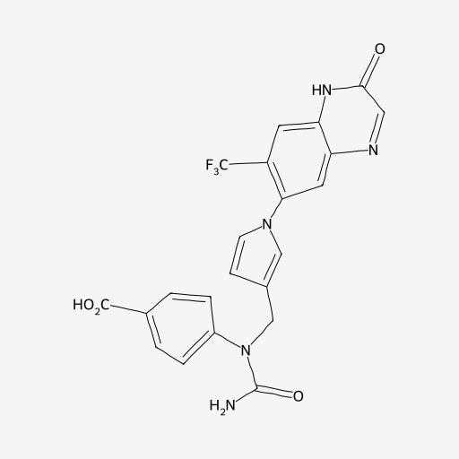 NC(=O)N(Cc1ccn(-c2cc3ncc(=O)[nH]c3cc2C(F)(F)F)c1)c1ccc(C(=O)O)cc1